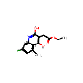 CCOC(=O)Cc1c(O)nc2cc(Cl)cc(C)c2c1O